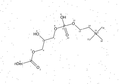 CCCCCCCCCCC(=O)OCC(O)COP(=O)(O)OCC[N+](C)(C)C